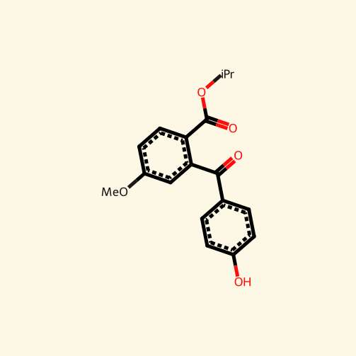 COc1ccc(C(=O)OC(C)C)c(C(=O)c2ccc(O)cc2)c1